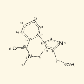 CN1Cc2c(CO)ncn2-c2ccccc2C1=O